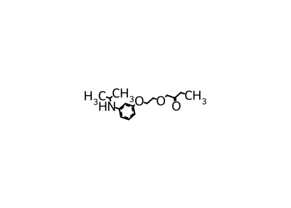 CCC(=O)COCCOc1cccc(NC(C)C)c1